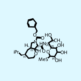 CSC1O[C@H]([C@H](NC(=O)[C@@H]2[C@@H]3OCC[C@@H](CC(C)C)C[C@H]3CN2C(=O)OCc2ccccc2)[C@@H](C)O)C(O)C(O)[C@H]1O